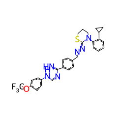 N=C(/N=C\Nc1ccc(OC(F)(F)F)cc1)c1ccc(/C=N/N=C2\SCCCN2c2ccccc2C2CC2)cc1